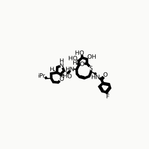 CC(C)C[C@@H]1CCO[C@@H]2[C@H](CN[C@@H]2C(=O)N[C@@H]2C/C=C\C[C@H](CNC(=O)c3ccc(F)cc3)SC3O[C@H]2[C@@H](O)C(O)[C@H]3O)C1